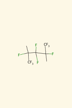 CC(F)(C(F)(F)F)C(F)(F)C(C)(F)C(F)(F)F